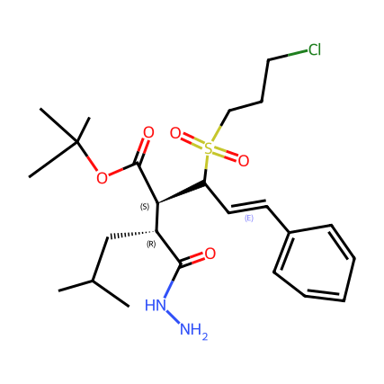 CC(C)C[C@@H](C(=O)NN)[C@@H](C(=O)OC(C)(C)C)C(/C=C/c1ccccc1)S(=O)(=O)CCCCl